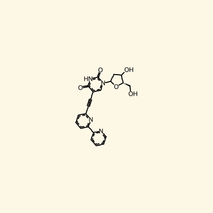 O=c1[nH]c(=O)n(C2CC(O)[C@@H](CO)O2)cc1C#Cc1cccc(-c2ccccn2)n1